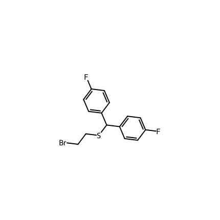 Fc1ccc(C(SCCBr)c2ccc(F)cc2)cc1